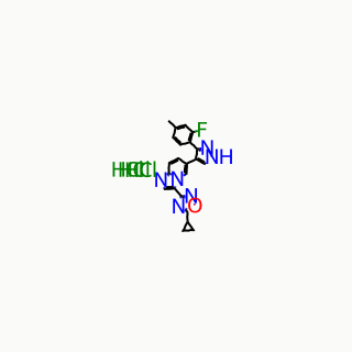 Cc1ccc(-c2n[nH]cc2-c2ccc3ncc(-c4noc(C5CC5)n4)n3c2)c(F)c1.Cl.Cl.Cl